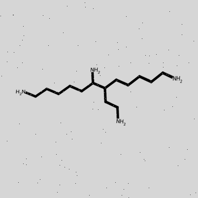 NCCCCCC(N)C(CCN)CCCCCN